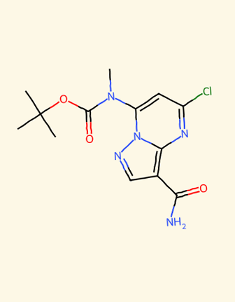 CN(C(=O)OC(C)(C)C)c1cc(Cl)nc2c(C(N)=O)cnn12